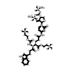 C=C1C(n2ccc(NC(=O)CC[C@@H](C(=O)OCC[Si](C)(C)C)N(NC(=O)OCC[Si](C)(C)C)C(=O)CCc3c[nH]c4ccccc34)nc2=O)OC[C@H]1C(O[Si](C)(C)C(C)(C)C)O[Si](C)(C)C(C)(C)C